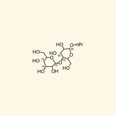 CCCO[C@@H]1OC(CO)[C@@H](O[C@@H]2OC(CO)[C@@H](O)[C@H](O)C2O)[C@H](O)C1O